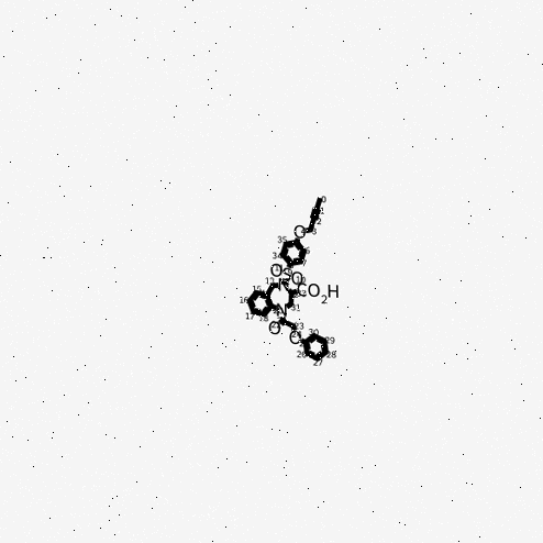 CC#CCOc1ccc(S(=O)(=O)N2Cc3ccccc3N(C(=O)COc3ccccc3)CC2C(=O)O)cc1